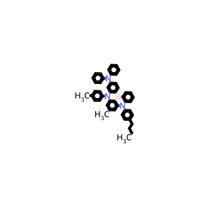 CCCCc1ccc(N2c3ccccc3B3c4ccc(N(c5ccccc5)c5ccccc5)cc4N(c4ccc(C)cc4)c4cc(C)cc2c43)cc1